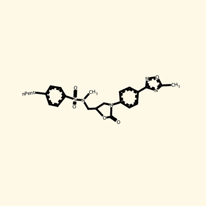 CCCCCc1ccc(S(=O)(=O)N(C)CC2CN(c3ccc(-c4noc(C)n4)cc3)C(=O)O2)cc1